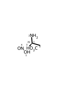 C[C@H](N)C(=O)O.O=NO